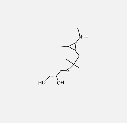 CC1C(CC(C)(C)SCC(O)CO)C1N(C)C